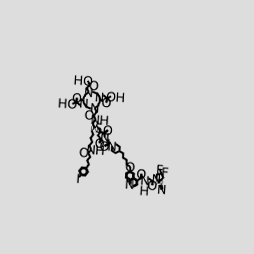 N#C[C@H]1CC(F)(F)CN1C(=O)CNC(=O)c1ccnc2ccc(OCCCCC3CCN(C(=O)CN4C(=O)CC(S[C@H](CCCCCNC(=O)CCCc5ccc(I)cc5)CNC(=O)CN5CCN(CC(=O)O)CCN(CC(=O)O)CCN(CC(=O)O)CC5)C4=O)CC3)cc12